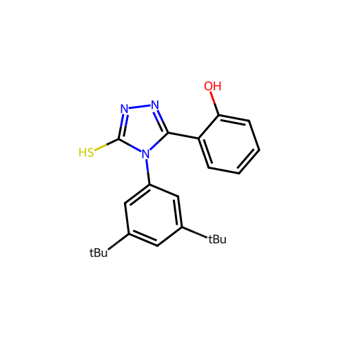 CC(C)(C)c1cc(-n2c(S)nnc2-c2ccccc2O)cc(C(C)(C)C)c1